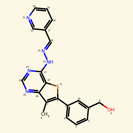 Cc1c(-c2cccc(CO)c2)sc2c(NN=Cc3cccnc3)ncnc12